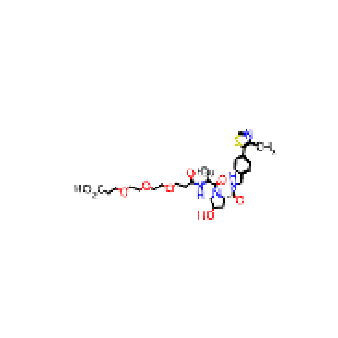 Cc1ncsc1-c1ccc(CNC(=O)[C@@H]2C[C@@H](O)CN2C(=O)[C@@H](NC(=O)CCOCCOCCOCCC(=O)O)C(C)(C)C)cc1